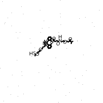 CC(S)OCCOCCCn1nnc2c1-c1ccccc1CN(C(=O)CCC(=O)NCCOCCC(=O)C(C)C)c1ccccc1-2